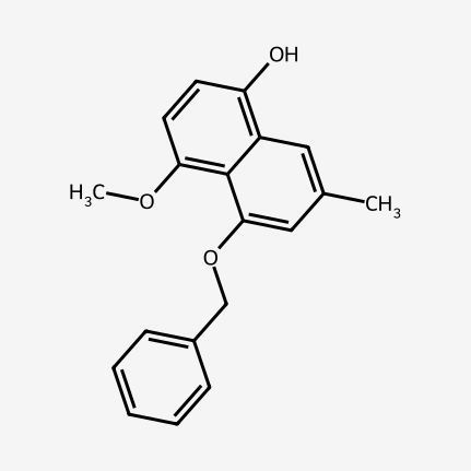 COc1ccc(O)c2cc(C)cc(OCc3ccccc3)c12